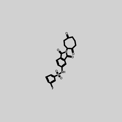 O=C1CCCC(=O)C(N2C(=O)c3ccc(NS(=O)(=O)c4cccc(F)c4)cc3C2=O)CC1